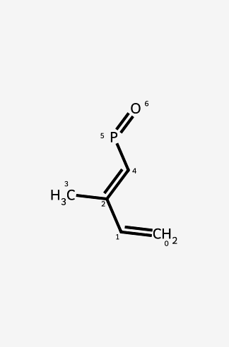 C=CC(C)=CP=O